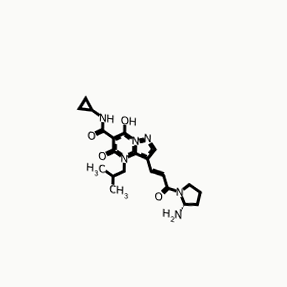 CC(C)Cn1c(=O)c(C(=O)NC2CC2)c(O)n2ncc(/C=C/C(=O)N3CCC[C@@H]3N)c12